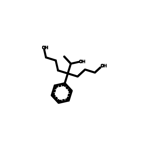 CC(O)C(CCCO)(CCCO)c1ccccc1